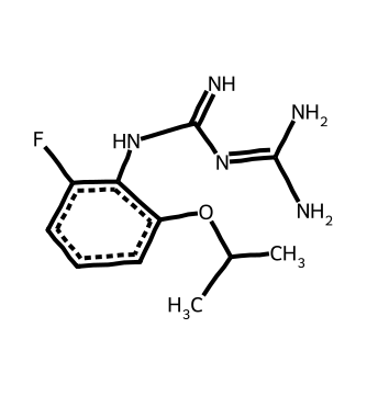 CC(C)Oc1cccc(F)c1NC(=N)N=C(N)N